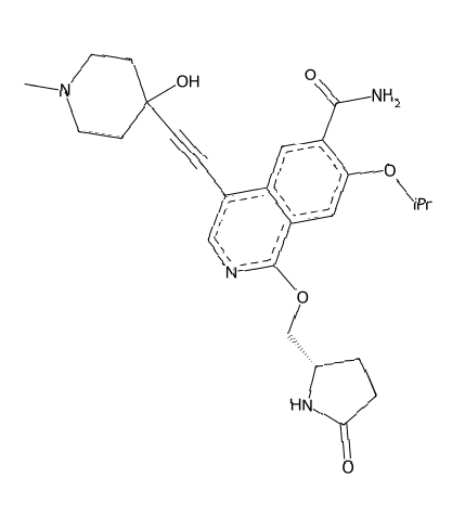 CC(C)Oc1cc2c(OC[C@@H]3CCC(=O)N3)ncc(C#CC3(O)CCN(C)CC3)c2cc1C(N)=O